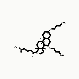 CCCCCCCCNCCC[C@@H](C)[C@H]1CC[C@H]2C3[C@H](OCCCN)CC4C[C@H](OCCCN)CC[C@]4(C)[C@H]3CCC12C